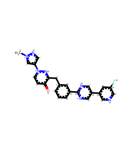 Cn1cc(-n2ccc(=O)c(Cc3cccc(-c4ncc(-c5cncc(F)c5)cn4)c3)n2)cn1